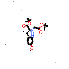 COc1ccc(C[C@H](NCC(=O)OC(C)(C)C)C(=O)OC(C)(C)C)cc1